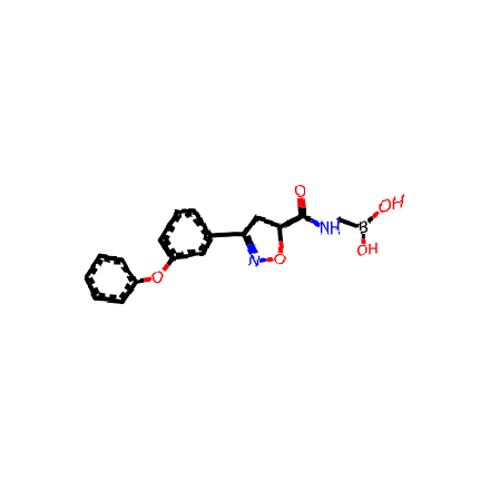 O=C(NCB(O)O)C1CC(c2cccc(Oc3ccccc3)c2)=NO1